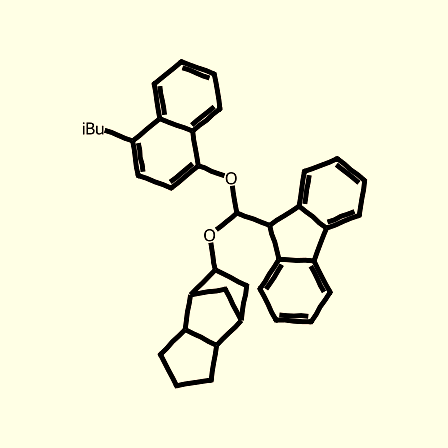 CCC(C)c1ccc(OC(OC2CC3CC2C2CCCC32)C2c3ccccc3-c3ccccc32)c2ccccc12